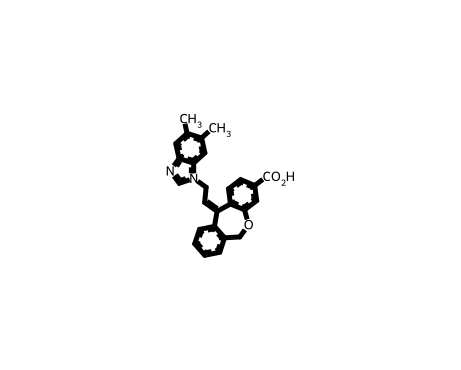 Cc1cc2ncn(CC=C3c4ccccc4COc4cc(C(=O)O)ccc43)c2cc1C